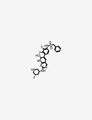 CN1c2nc(N[C@@H]3CNC[C@@H](F)C3)ncc2C=C(c2ccc(NS(=O)(=O)Cc3ccccc3)c(F)c2F)C1O